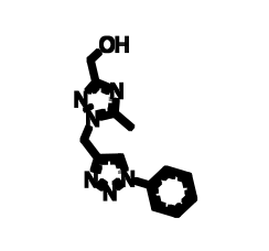 Cc1nc(CO)nn1Cc1cn(-c2ccccc2)nn1